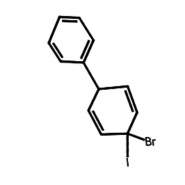 BrC1(I)C=CC(c2ccccc2)C=C1